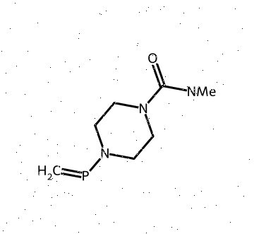 C=PN1CCN(C(=O)NC)CC1